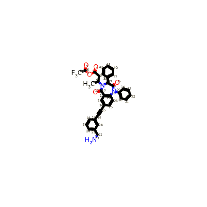 CC(CC(=O)OC(=O)C(F)(F)F)N1C(=O)c2cc(C#Cc3cccc(CN)c3)ccc2N(c2ccccc2)C(=O)C1c1ccccc1